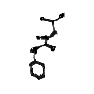 O=C(O)[CH]NC(=O)Nc1ccccc1